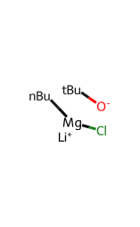 CC(C)(C)[O-].CCC[CH2][Mg][Cl].[Li+]